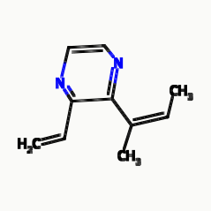 C=Cc1nccnc1/C(C)=C\C